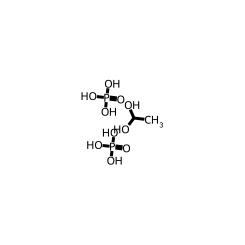 CC(O)O.O=P(O)(O)O.O=P(O)(O)O